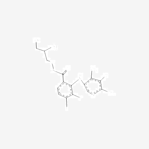 Cc1ncc(Nc2c(C(=O)NOCC(O)CO)ccc(F)c2F)c(C)c1Cl